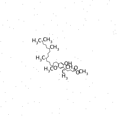 COC(=O)CCCC(C)(C)c1cc2c(cc1O)CCC(C)(CCCC(C)CCCC(C)CCCC(C)C)O2